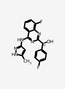 Cc1cc(Nc2nc([C@@H](O)c3ccc(F)cc3)nc3c(F)cccc23)n[nH]1